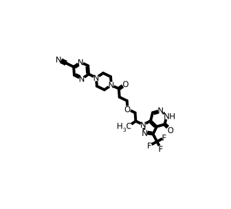 CC(COCCC(=O)N1CCN(c2cnc(C#N)cn2)CC1)n1nc(C(F)(F)F)c2c(=O)[nH]ncc21